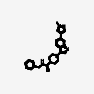 Cn1cc(-c2ccc3c(N4CCC(C(=O)NCc5ccccc5)CC4)cnn3c2)cn1